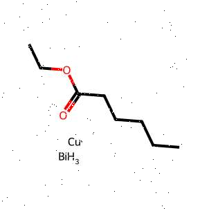 CCCCCC(=O)OCC.[BiH3].[Cu]